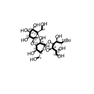 CC(C)(C)C[C@H](O)[C@@H](O[C@@H]1O[C@H](CO)[C@@H](O)[C@H](O[C@@H]2O[C@H](CO)[C@@H](O)[C@H](O)[C@H]2O)[C@H]1O)[C@H](O)[C@H](O)CO